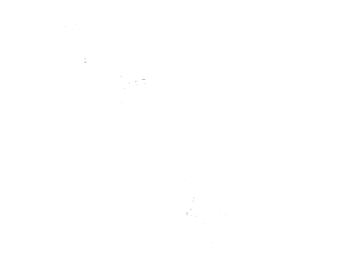 c1ccc(-c2ccc3cc(-c4c5ccccc5c(-c5ccc6c(c5)oc5ccc7sc8ccccc8c7c56)c5ccccc45)ccc3c2)cc1